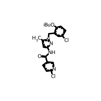 Cc1cc(NC(=O)c2ccc(Cl)nc2)nn1Cc1cc(Cl)ccc1OCC(C)C